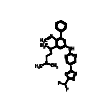 C=Nc1c(-c2ccccc2)cc(Nc2ncc(-c3nnc(C(F)F)o3)cn2)cc1N(C)CCN(C)C